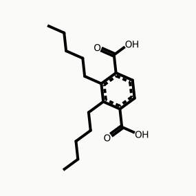 CCCCCc1c(C(=O)O)ccc(C(=O)O)c1CCCCC